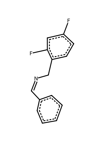 Fc1ccc(C/N=C\c2ccccc2)c(F)c1